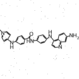 C[n+]1ccc(Nc2ccc(C(=O)Nc3ccc(Nc4ccnc5cc(N)ccc45)cc3)cc2)cc1